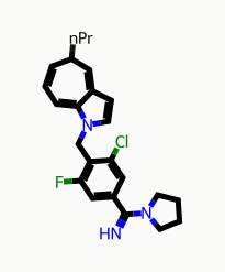 CCCC1C=CC=c2c(ccn2Cc2c(F)cc(C(=N)N3CCCC3)cc2Cl)=C1